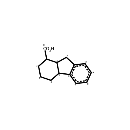 O=C(O)C1CCCC2c3ccccc3CC12